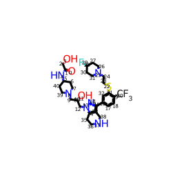 O=C(CO)NC1CCN(C[C@H](O)Cn2nc(-c3ccc(C(F)(F)F)c(SCCN4CCC(F)CC4)c3)c3c2CCNC3)CC1